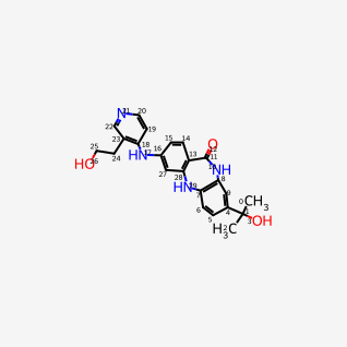 CC(C)(O)c1ccc2c(c1)NC(=O)c1ccc(Nc3ccncc3CCO)cc1N2